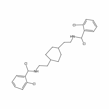 Clc1ccccc1C(Cl)NCCC1CCC(CCNC(Cl)c2ccccc2Cl)CC1